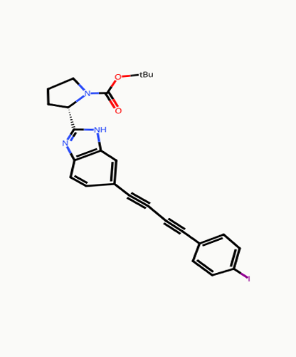 CC(C)(C)OC(=O)N1CCC[C@H]1c1nc2ccc(C#CC#Cc3ccc(I)cc3)cc2[nH]1